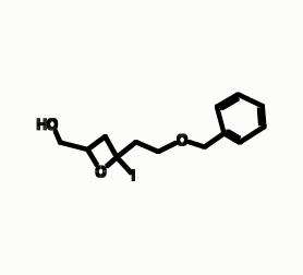 OCC1CC(I)(CCOCc2ccccc2)O1